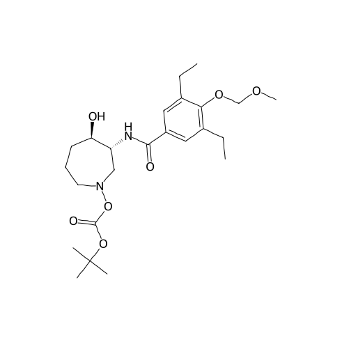 CCc1cc(C(=O)N[C@@H]2CN(OC(=O)OC(C)(C)C)CCC[C@H]2O)cc(CC)c1OCOC